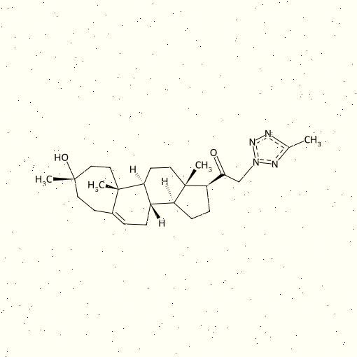 Cc1nnn(CC(=O)[C@H]2CC[C@H]3[C@@H]4CC=C5CC[C@](C)(O)CC[C@]5(C)[C@H]4CC[C@]23C)n1